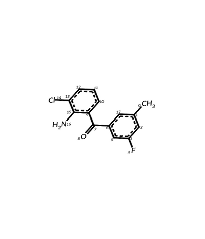 Cc1cc(F)cc(C(=O)c2cccc(Cl)c2N)c1